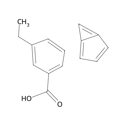 CCc1cccc(C(=O)O)c1.c1cc2cc-2c1